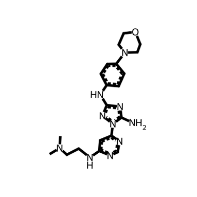 CN(C)CCNc1cc(-n2nc(Nc3ccc(N4CCOCC4)cc3)nc2N)ncn1